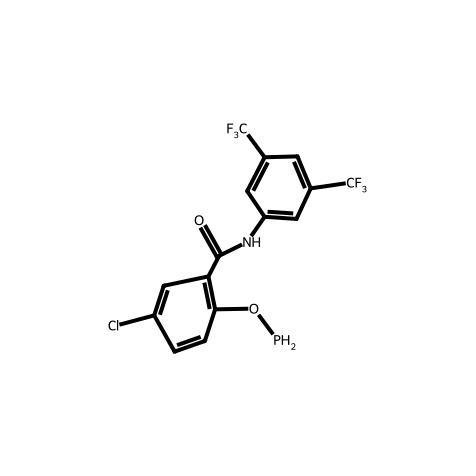 O=C(Nc1cc(C(F)(F)F)cc(C(F)(F)F)c1)c1cc(Cl)ccc1OP